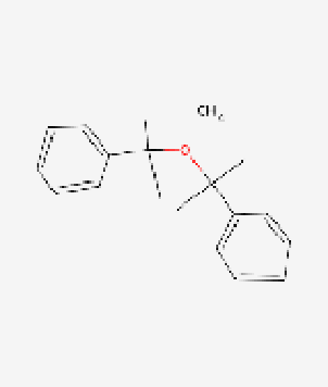 C.CC(C)(OC(C)(C)c1ccccc1)c1ccccc1